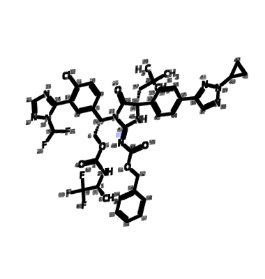 C[C@H](NC(=O)OC[C@H](c1ccc(Cl)c(-c2ncnn2C(F)F)c1)N1C(=O)[C@@](CC(C)(C)C)(c2ccc(-c3cnn(C4CC4)n3)cc2)N/C1=N\C(=O)OCc1ccccc1)C(F)(F)F